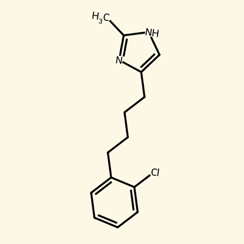 Cc1nc(CCCCc2ccccc2Cl)c[nH]1